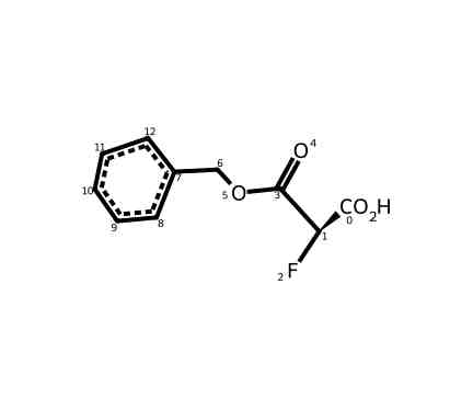 O=C(O)[C@@H](F)C(=O)OCc1ccccc1